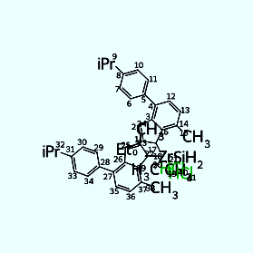 CCC1=Cc2c(-c3ccc(C(C)C)cc3)ccc(C)c2[CH]1[Zr]([CH3])([CH3])(=[SiH2])[CH]1C(C)=Cc2c(-c3ccc(C(C)C)cc3)ccc(C)c21.Cl.Cl